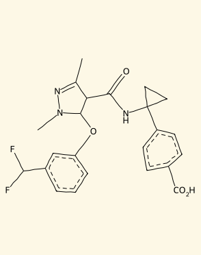 CC1=NN(C)C(Oc2cccc(C(F)F)c2)C1C(=O)NC1(c2ccc(C(=O)O)cc2)CC1